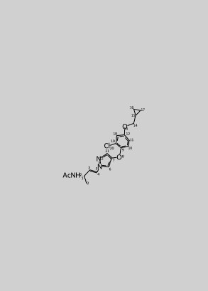 CC(=O)N[C@@H](C)/C=C/n1cc(Oc2ccc(OCC3CC3)cc2Cl)cn1